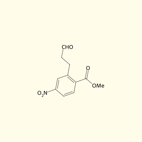 COC(=O)c1ccc([N+](=O)[O-])cc1CCC=O